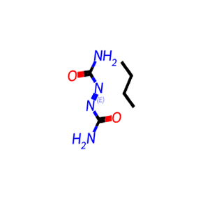 CCCC.NC(=O)/N=N/C(N)=O